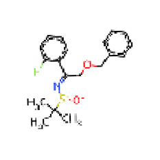 CC(C)(C)[S@@+]([O-])/N=C(\COCc1ccccc1)c1ccccc1F